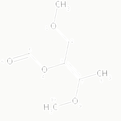 COC/C(OC=O)=C(\C)OC